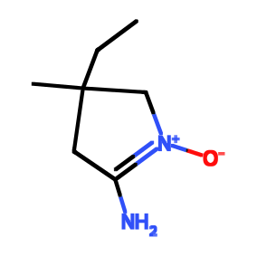 CCC1(C)CC(N)=[N+]([O-])C1